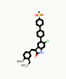 COc1ccc(C=C2C(=O)Nc3cc(Cl)c(-c4ccc(-c5ccc(S(C)(=O)=O)cc5)cc4)cc32)cc1CC(=O)O